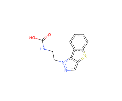 O=C(O)NCCn1ncc2sc3ccccc3c21